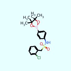 CC1(C)OB(c2ccc(NS(=O)(=O)Cc3ccccc3Cl)cc2)OC1(C)C